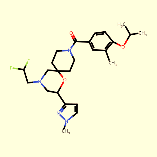 Cc1cc(C(=O)N2CCC3(CC2)CN(CC(F)F)CC(c2ccn(C)n2)O3)ccc1OC(C)C